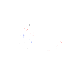 CC(CCc1ccc2c(n1)N(C(=O)OC(C)(C)C)CCC2)COCC=O